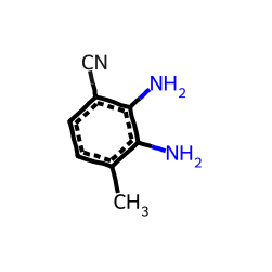 Cc1ccc(C#N)c(N)c1N